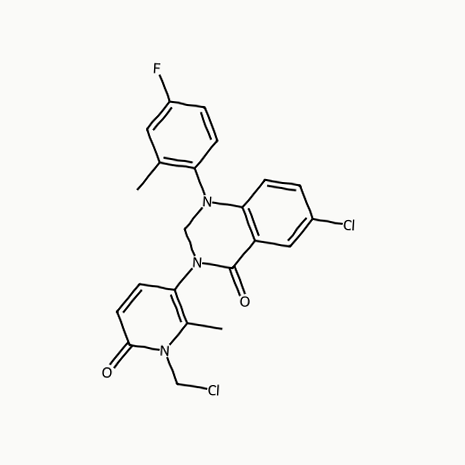 Cc1cc(F)ccc1N1CN(c2ccc(=O)n(CCl)c2C)C(=O)c2cc(Cl)ccc21